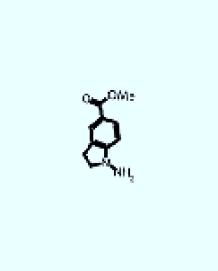 COC(=O)c1ccc2c(c1)CCN2N